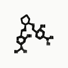 CCN(CC)c1ccc(C=NC2CCCC[C@@H]2N=Cc2ccc(N(CC)CC)cc2O)c(O)c1